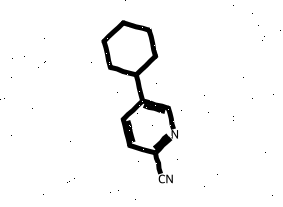 N#Cc1ccc(C2CCCCC2)cn1